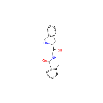 Cc1ccccc1C(=O)NCC(O)[C@@H]1Cc2ccccc2CN1